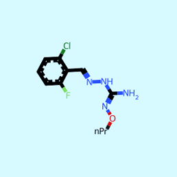 CCCON=C(N)NN=Cc1c(F)cccc1Cl